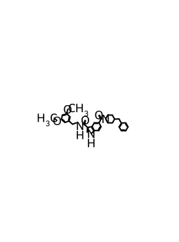 COc1cc(CCNC(=O)c2c[nH]c3ccc(C(=O)N4CCC(Cc5ccccc5)CC4)cc23)cc(OC)c1